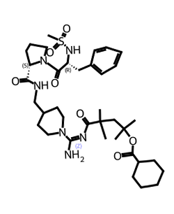 CC(C)(CC(C)(C)C(=O)/N=C(/N)N1CCC(CNC(=O)[C@@H]2CCCN2C(=O)[C@@H](Cc2ccccc2)NS(C)(=O)=O)CC1)OC(=O)C1CCCCC1